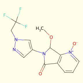 COC1c2c(ccc[n+]2[O-])C(=O)N1c1cnn(CC(F)(F)F)c1